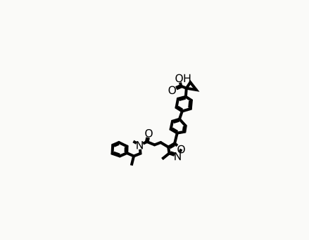 Cc1noc(-c2ccc(-c3ccc(C4(C(=O)O)CC4)cc3)cc2)c1CCC(=O)N(C)CC(C)c1ccccc1